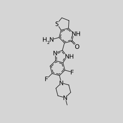 CN1CCN(c2c(F)cc3nc(-c4c(N)c5c([nH]c4=O)CCS5)[nH]c3c2F)CC1